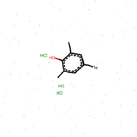 Cc1cc([Te])cc(C)c1O.Cl.Cl.Cl